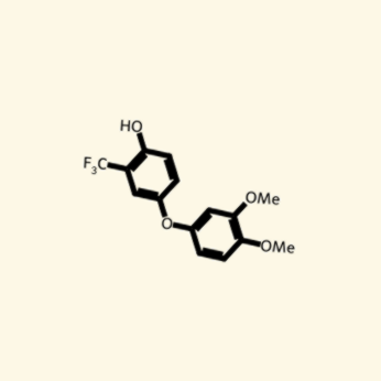 COc1ccc(Oc2ccc(O)c(C(F)(F)F)c2)cc1OC